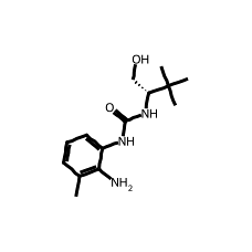 Cc1cccc(NC(=O)N[C@H](CO)C(C)(C)C)c1N